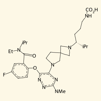 CCN(C(=O)c1cc(F)ccc1Oc1nnc(NC)nc1N1CCC2(C1)CN([C@H](CCCNC(=O)O)C(C)C)C2)C(C)C